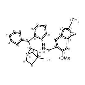 COc1cc2sc(C)nc2cc1CN[C@@H]1[C@@H]2CC[N@](C2)[C@@H]1C(c1ccccc1)c1ccccc1